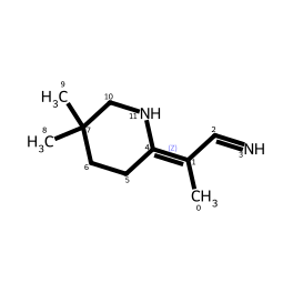 C/C(C=N)=C1\CCC(C)(C)CN1